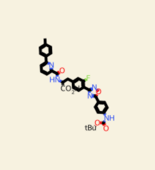 Cc1ccc(-c2cccc(C(=O)NC(Cc3ccc(-c4noc(-c5ccc(NC(=O)OC(C)(C)C)cc5)n4)c(F)c3)C(=O)O)n2)cc1